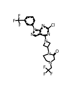 O=C1CN(CC(F)(F)F)CCN1C1CN(c2nc(Cl)nc3c2cnn3-c2cccc(C(F)(F)F)c2)C1